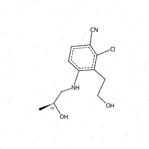 C[C@H](O)CNc1ccc(C#N)c(Cl)c1CCO